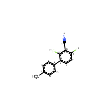 Cc1ccc(-c2ccc(F)c(C#N)c2F)cc1